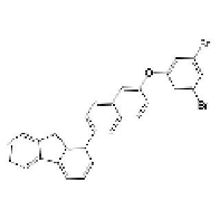 Brc1cc(Br)cc(Oc2ccc3cc(-c4cccc5c4Cc4ccccc4-5)ccc3c2)c1